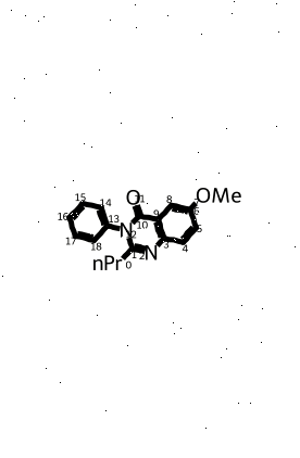 CCCc1nc2ccc(OC)cc2c(=O)n1-c1ccccc1